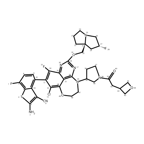 N#Cc1c(N)sc2c(F)ccc(-c3c(Cl)c4c5c(nc(OC[C@@]67CCCN6C[C@H](F)C7)nc5c3F)N(C3CCN(C(=O)CC5COC5)C3)CCO4)c12